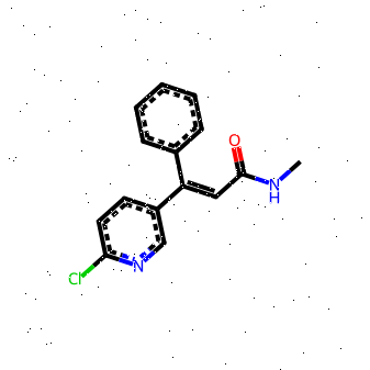 CNC(=O)/C=C(\c1ccccc1)c1ccc(Cl)nc1